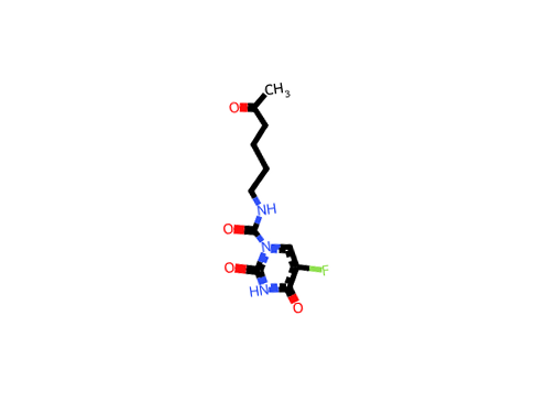 CC(=O)CCCCNC(=O)n1cc(F)c(=O)[nH]c1=O